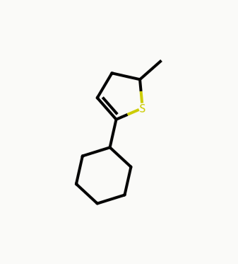 CC1CC=C(C2CCCCC2)S1